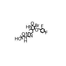 Cc1[nH]c(=O)c(Br)c(OCc2ccc(F)cc2F)c1Cc1cnc(NC(=O)C(C)(C)O)cn1